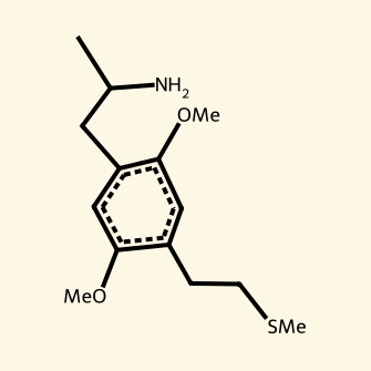 COc1cc(CC(C)N)c(OC)cc1CCSC